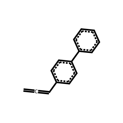 C=C=Cc1ccc(-c2ccccc2)cc1